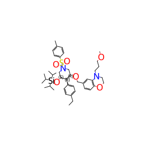 CCc1ccc([C@@H]2[C@@H](OCc3ccc4c(c3)N(CCCOC)CCO4)CN(S(=O)(=O)c3ccc(C)cc3)C[C@H]2O[Si](C(C)C)(C(C)C)C(C)C)cc1